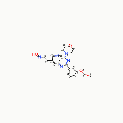 COCOc1cccc(-c2nc(N3CCOCC3)c3ncc(CC=NO)cc3n2)c1